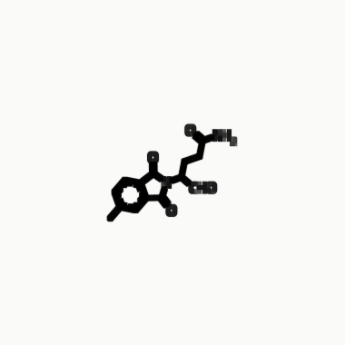 Cc1ccc2c(c1)C(=O)N(C(C=O)CCC(N)=O)C2=O